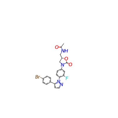 CC(=O)NCC1CN(c2ccc(-n3nccc3-c3ccc(Br)cc3)c(F)c2)C(=O)O1